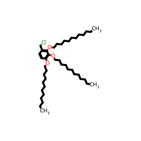 CCCCCCCCCCCCOc1ccc(CCl)c(OCCCCCCCCCCCC)c1OCCCCCCCCCCCC